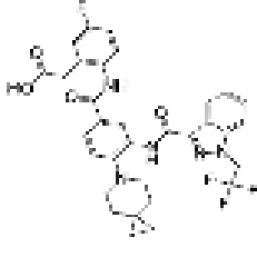 O=C(O)Cc1cc(F)ccc1NC(=O)c1ccc(N2CCC3(CC2)CC3)c(NC(=O)c2nn(CC(F)(F)F)c3ccccc23)c1